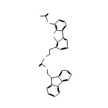 CCC(=O)Oc1cccc2c1oc1c(CCNC(=O)OCC3c4ccccc4-c4ccccc43)cccc12